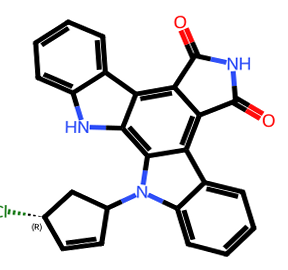 O=C1NC(=O)c2c1c1c3ccccc3[nH]c1c1c2c2ccccc2n1C1C=C[C@H](Cl)C1